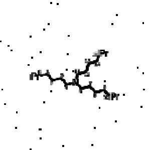 CC(C)CCCCN(CCCCC(C)C)CCCCC(C)C